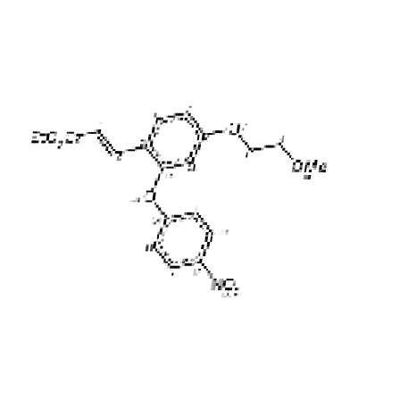 CCOC(=O)/C=C/c1ccc(OCCOC)cc1Oc1ccc([N+](=O)[O-])cc1